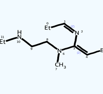 CC/C=N\C(=C/CC)N(C)CCNCC